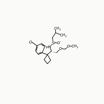 COCOC[C@@H](N[S+]([O-])CC(C)C)C1(c2ccc(Cl)cc2)CCC1